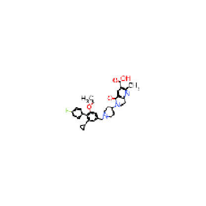 CCOc1cc(CN2CCC(N3CCc4nc(C)c(C(=O)O)cc4C3=O)CC2)cc(C2CC2)c1-c1ccc(F)cc1